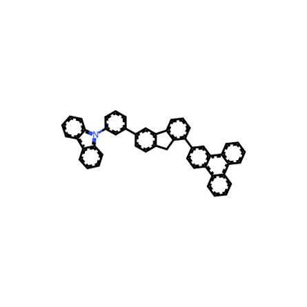 c1cc(-c2ccc3c(c2)-c2cccc(-c4ccc5c6ccccc6c6ccccc6c5c4)c2C3)cc(-n2c3ccccc3c3ccccc32)c1